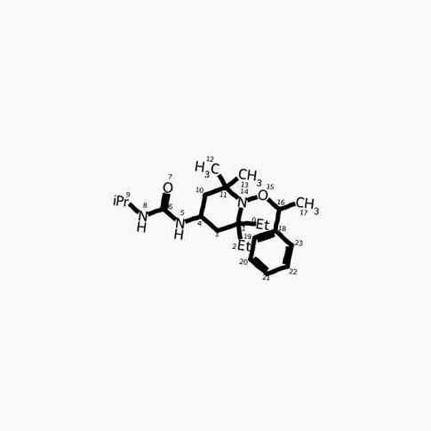 CCC1(CC)CC(NC(=O)NC(C)C)CC(C)(C)N1OC(C)c1ccccc1